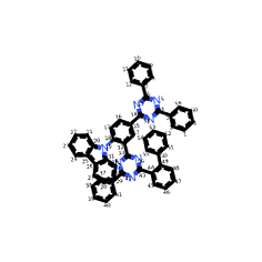 c1ccc(-c2nc(-c3ccccc3)nc(-c3ccc(-n4c5ccccc5c5ccccc54)c(-c4nc(-c5ccccc5)nc(-c5ccccc5-c5ccccc5)n4)c3)n2)cc1